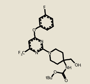 CC(C)(C)OC(=O)NC1(CO)CCN(c2nc(Oc3cccc(F)c3)cc(C(F)(F)F)n2)CC1